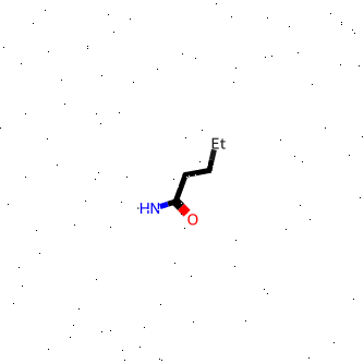 [CH2]CCCC([NH])=O